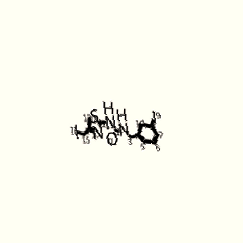 O=C(NCc1cccc(I)c1)Nc1nc(CI)cs1